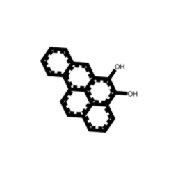 Oc1c(O)c2cc3ccccc3c3ccc4cccc1c4c23